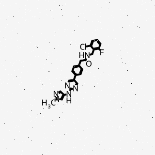 Cn1cc(Nc2ncc(-c3ccc(CC(=O)NCc4c(F)cccc4Cl)cc3)cn2)cn1